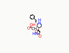 CC(=O)O.O=c1cc([C@@H]2CCN[C@@H](C=Cc3ccccc3)C2)o[nH]1